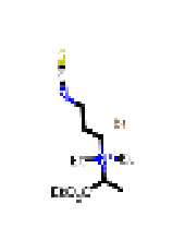 CCOC(=O)C(C)[N+](CC)(CC)CCCN=C=S.[Br-]